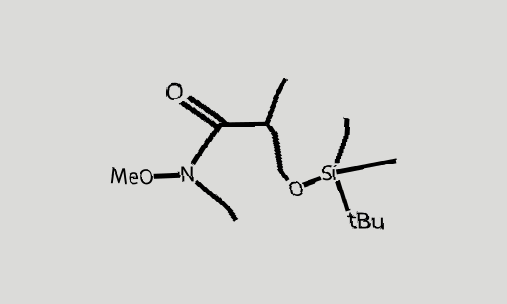 CON(C)C(=O)C(C)O[Si](C)(C)C(C)(C)C